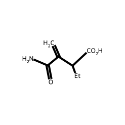 C=C(C(N)=O)C(CC)C(=O)O